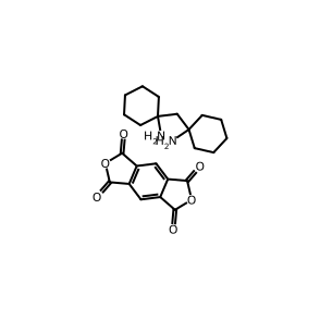 NC1(CC2(N)CCCCC2)CCCCC1.O=c1oc(=O)c2cc3c(=O)oc(=O)c3cc12